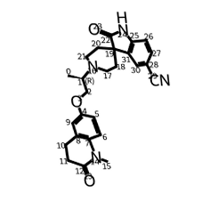 C[C@H](COc1ccc2c(c1)CCC(=O)N2C)N1CCC2(CC1)C(=O)Nc1ccc(C#N)cc12